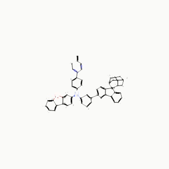 C=C/C=C\C(=C/C)c1ccc(N(c2cccc(-c3ccc4c(c3)-c3ccccc3C43C4CC5CC(C4)CC3C5)c2)c2ccc3c(c2)oc2ccccc23)cc1